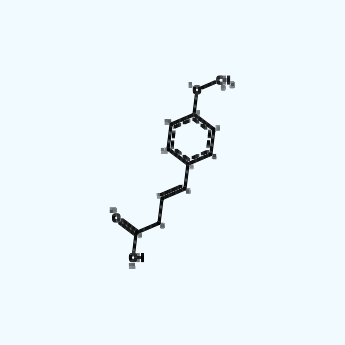 COc1ccc(C=CCC(=O)O)cc1